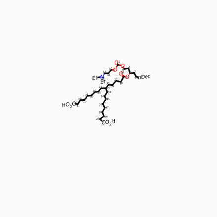 CCCCCCCCCCCCC(CCOC(=O)OCCCN(CC)CC)OC(=O)CCCCC(CCCCCCCCC(=O)O)CCCCCCCCC(=O)O